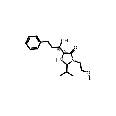 COCCN1C(=O)[C@H]([C@H](O)CCc2ccccc2)NC1C(C)C